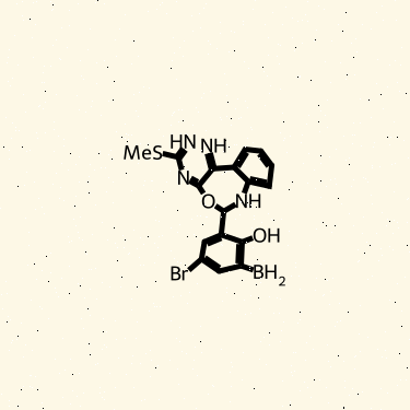 Bc1cc(Br)cc(C2Nc3ccccc3C(=N)/C(=N\C(=N)SC)O2)c1O